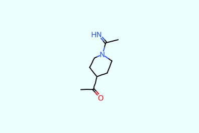 CC(=N)N1CCC(C(C)=O)CC1